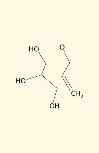 C=CC[O].OCC(O)CO